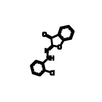 O=C1/C(=N/Nc2ccccc2Cl)Oc2ccccc21